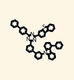 c1ccc(-c2ccc(-c3nc(-c4cccc(-c5cccc(-n6c7ccccc7c7c(-c8ccccc8)cccc76)c5)c4)nc(-c4ccc5c(c4)sc4ccccc45)n3)cc2)cc1